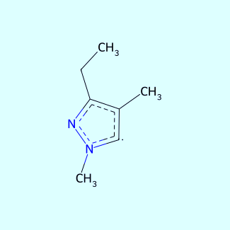 CCc1nn(C)[c]c1C